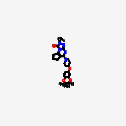 [2H]C1([2H])Oc2ccc(OC3CCN(c4nc5nn(C)c(=O)n5c5c4CCC5)CC3)cc2OC1([2H])[2H]